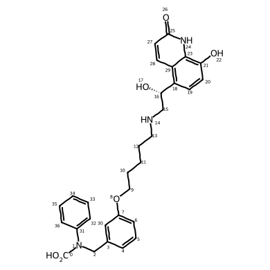 O=C(O)N(Cc1cccc(OCCCCCNC[C@H](O)c2ccc(O)c3[nH]c(=O)ccc23)c1)c1ccccc1